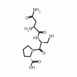 NC(=O)C[C@H](N)C(=O)N[C@@H](CS)C(=O)N1CCC[C@H]1C(=O)O